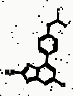 Nc1nc2cc(Cl)cc(-c3ccc(OC(F)F)nc3)n2n1